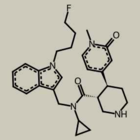 Cn1ccc([C@H]2CCNC[C@@H]2C(=O)N(Cc2cn(CCCCF)c3ccccc23)C2CC2)cc1=O